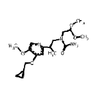 COc1cnc(C(C)CN(CC(OC)OC)C(N)=O)cc1OCC1CC1